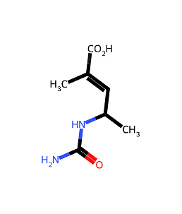 CC(=CC(C)NC(N)=O)C(=O)O